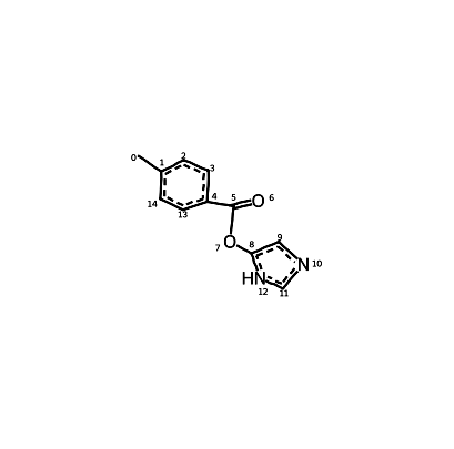 Cc1ccc(C(=O)Oc2cnc[nH]2)cc1